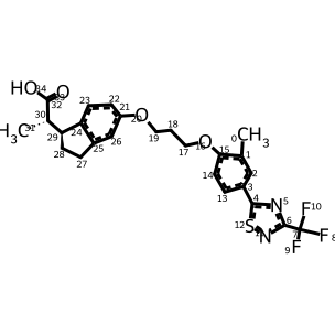 Cc1cc(-c2nc(C(F)(F)F)ns2)ccc1OCCCOc1ccc2c(c1)CC[C@H]2[C@H](C)C(=O)O